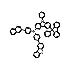 c1ccc(-n2c3ccc(N(c4ccc(-c5ccc6ccccc6c5)cc4)c4ccc(-c5ccc6sc7ccccc7c6c5)cc4)cc3c3cc(C4(c5ccccc5)c5ccccc5-c5ccccc54)ccc32)cc1